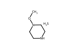 CON1CCNCC1.S